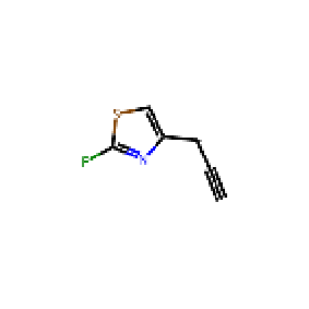 C#C[CH]c1csc(F)n1